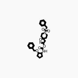 O=C(NC1CCCC1OCc1ccccc1)OC1=NOC2(CCN(S(=O)(=O)Cc3ccccc3)CC2)C1